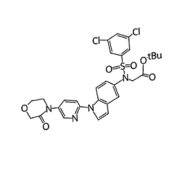 CC(C)(C)OC(=O)CN(c1ccc2c(ccn2-c2ccc(N3CCOCC3=O)cn2)c1)S(=O)(=O)c1cc(Cl)cc(Cl)c1